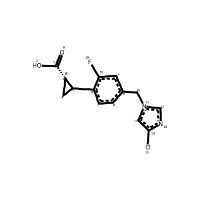 O=C(O)[C@H]1CC1c1ccc(Cn2cnc(Cl)c2)cc1F